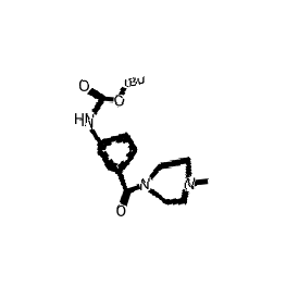 CN1CCN(C(=O)c2ccc(NC(=O)OC(C)(C)C)cc2)CC1